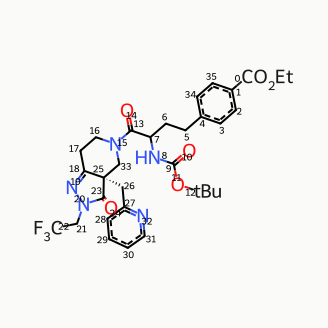 CCOC(=O)c1ccc(CCC(NC(=O)OC(C)(C)C)C(=O)N2CCC3=NN(CC(F)(F)F)C(=O)[C@]3(Cc3ccccn3)C2)cc1